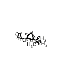 [CH3][Sn]([CH3])([CH3])[c]1cc(OC2COC2)ccn1